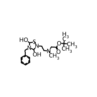 CN(CCN1SC(O)N(Cc2ccccc2)C1O)CC(=O)OC(C)(C)C